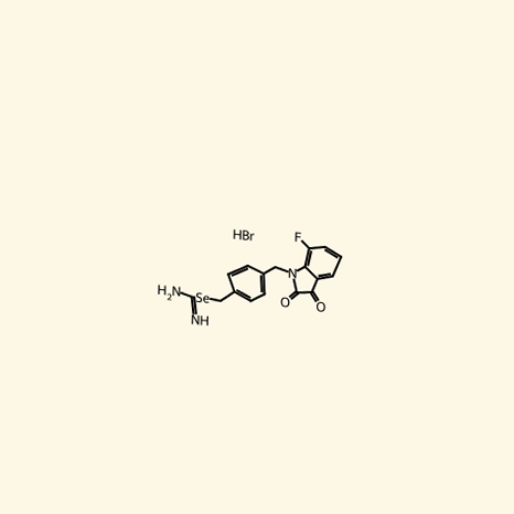 Br.N=C(N)[Se]Cc1ccc(CN2C(=O)C(=O)c3cccc(F)c32)cc1